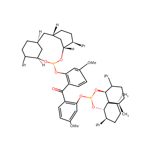 COc1ccc(C(=O)c2ccc(OC)cc2OP2O[C@@H]3C[C@@H](CCC3C(C)C)C[C@@H]3CC[C@@H](C(C)C)[C@@H](C3)O2)c(OP(O[C@@H]2C[C@H](C)CCC2C(C)C)O[C@@H]2C[C@H](C)CC[C@H]2C(C)C)c1